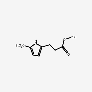 CCOC(=O)c1ccc(CCC(=O)OC(C)(C)C)[nH]1